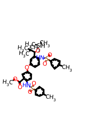 COC(=O)c1cc(Oc2ccc(NS(=O)(=O)c3ccc(C)cc3)c(C(O[SiH](C)C)C(C)(C)C)c2)ccc1NS(=O)(=O)c1ccc(C)cc1